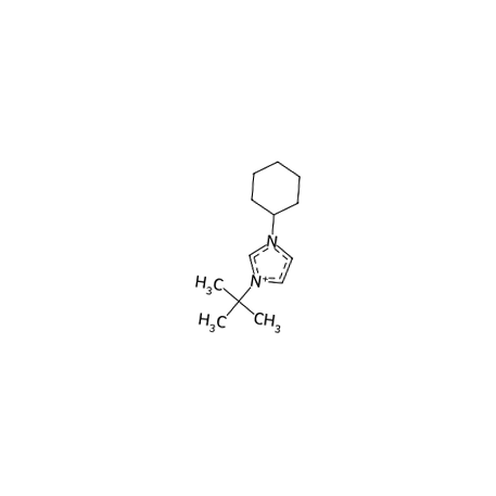 CC(C)(C)[n+]1ccn(C2CCCCC2)c1